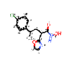 CCC(CC(C(=O)NO)c1ncco1)c1ccc(Cl)cc1